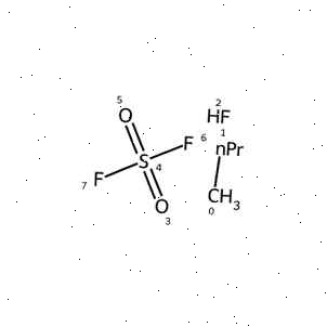 CCCC.F.O=S(=O)(F)F